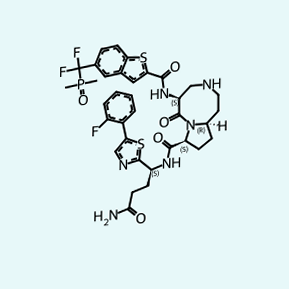 CP(C)(=O)C(F)(F)c1ccc2sc(C(=O)N[C@H]3CNCC[C@H]4CC[C@@H](C(=O)N[C@@H](CCC(N)=O)c5ncc(-c6ccccc6F)s5)N4C3=O)cc2c1